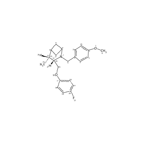 COc1ccc(CN2C3CC(C3)[C@@H](C)[C@H]2COc2ccc(F)cc2)cc1